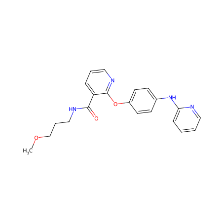 COCCCNC(=O)c1cccnc1Oc1ccc(Nc2ccccn2)cc1